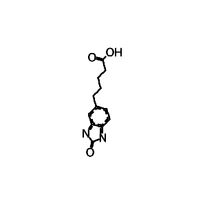 O=C(O)CCCCc1ccc2c(c1)=NC(=O)N=2